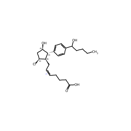 CCCCC(O)c1ccc([C@@H]2[C@@H](C/C=C\CCCC(=O)O)[C@@H](Cl)C[C@H]2O)cc1